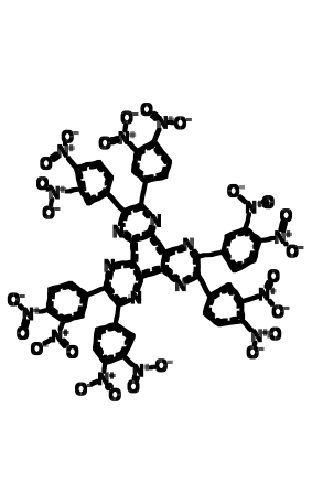 O=[N+]([O-])c1ccc(-c2nc3c4nc(-c5ccc([N+](=O)[O-])c([N+](=O)[O-])c5)c(-c5ccc([N+](=O)[O-])c([N+](=O)[O-])c5)nc4c4nc(-c5ccc([N+](=O)[O-])c([N+](=O)[O-])c5)c(-c5ccc([N+](=O)[O-])c([N+](=O)[O-])c5)nc4c3nc2-c2ccc([N+](=O)[O-])c([N+](=O)[O-])c2)cc1[N+](=O)[O-]